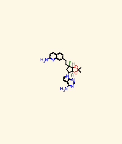 CC1(C)O[C@H]2[C@H](n3ccc4c(N)ncnc43)C[C@](F)(CCc3ccc4ccc(N)nc4c3)[C@H]2O1